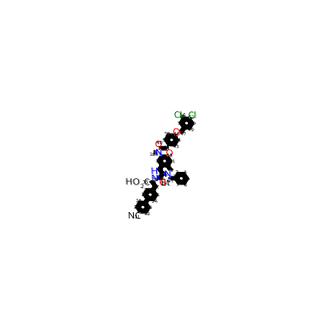 CCC(c1ccccc1)N1Cc2cc3c(cc2CC1C(=O)N[C@@H](Cc1ccc(-c2ccc(C#N)cc2)cc1)C(=O)O)N(C)C(=O)[C@H](c1ccc(OCc2ccc(Cl)c(Cl)c2)cc1)O3